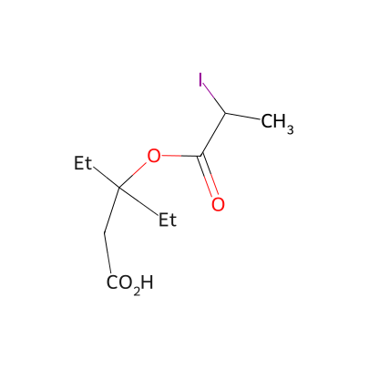 CCC(CC)(CC(=O)O)OC(=O)C(C)I